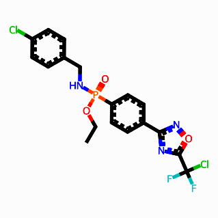 CCOP(=O)(NCc1ccc(Cl)cc1)c1ccc(-c2noc(C(F)(F)Cl)n2)cc1